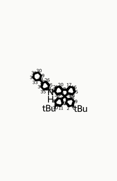 CC(C)(C)c1ccc(C2(c3ccc(C(C)(C)C)cc3)c3ccccc3-c3ccc(Nc4ccc(C5CCCCC5)cc4)cc32)cc1